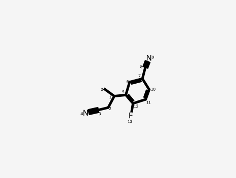 CC(CC#N)c1cc(C#N)ccc1F